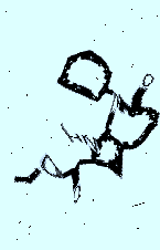 CCOC(=O)c1cc2ccc(=O)n(-c3ccccc3)c2[nH]1